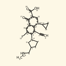 C#Cc1c(N2CCC(CNC)C2)c(F)cc2c(=O)c(C(=O)O)cn(C3CC3)c12